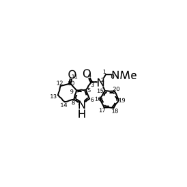 CNCN(C(=O)c1c[nH]c2c1C(=O)CCC2)c1ccccc1